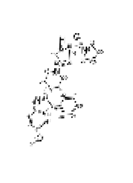 COc1ccc2nc(N3CCN([C@@H]4CN[C@H](C(=O)N5CCSC5)C4)CC3)n(-c3ccccc3)c2c1